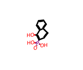 O=P(O)(O)c1ccc2ccccc2c1O